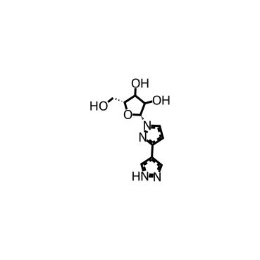 OC[C@H]1O[C@@H](n2ccc(-c3cn[nH]c3)n2)C(O)C1O